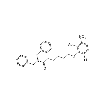 CC(=O)c1c([N+](=O)[O-])ccc(Cl)c1OCCCCCC(=O)N(Cc1ccccc1)Cc1ccccc1